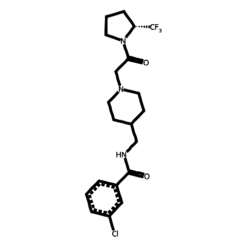 O=C(NCC1CCN(CC(=O)N2CCC[C@@H]2C(F)(F)F)CC1)c1cccc(Cl)c1